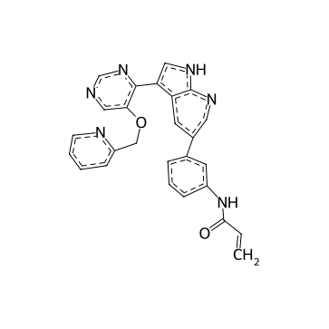 C=CC(=O)Nc1cccc(-c2cnc3[nH]cc(-c4ncncc4OCc4ccccn4)c3c2)c1